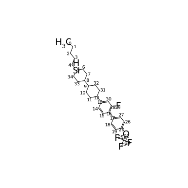 CCCCC[SiH]1CCC(C2CCC(c3ccc(-c4ccc(OC(F)(F)F)cc4)c(F)c3)CC2)CC1